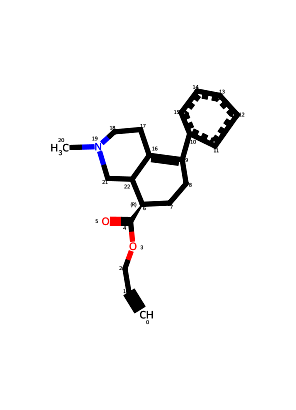 C#CCOC(=O)[C@@H]1CCC(c2ccccc2)=C2CCN(C)CC21